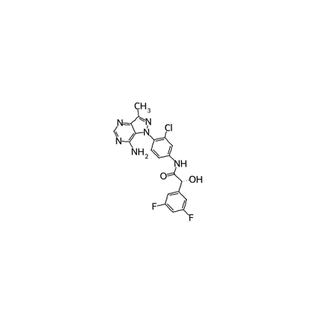 Cc1nn(-c2ccc(NC(=O)[C@H](O)c3cc(F)cc(F)c3)cc2Cl)c2c(N)ncnc12